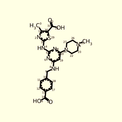 Cc1nc(Nc2nc(NCc3ccc(C(=O)O)cc3)cc(N3CCN(C)CC3)n2)sc1C(=O)O